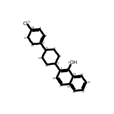 Oc1c(C2CCC(C3=CC=C(Cl)CC3)CC2)ccc2ccccc12